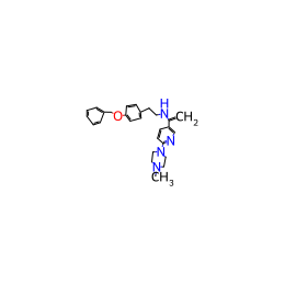 C=C(NCCc1ccc(OCc2ccccc2)cc1)c1ccc(N2CCN(C)CC2)nc1